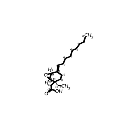 CCCCCCCCC=C1CC[C@@](CC)(CC(=O)O)[C@H]2O[C@@H]12